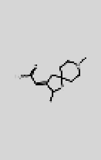 CC1OC2(CCN(C)CC2)CC1=CC(=O)O